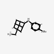 CC(C)(C)c1ccc(NC2C3CC4CC5(CN)CC2C435)cc1